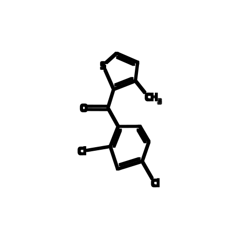 Cc1ccsc1C(=O)c1ccc(Cl)cc1Cl